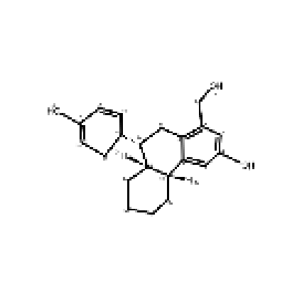 OCc1cc(O)cc2c1C[C@@H](C1C=CC(O)=CC1)[C@H]1CCCC[C@@H]21